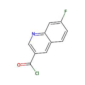 O=C(Cl)c1cnc2cc(F)ccc2c1